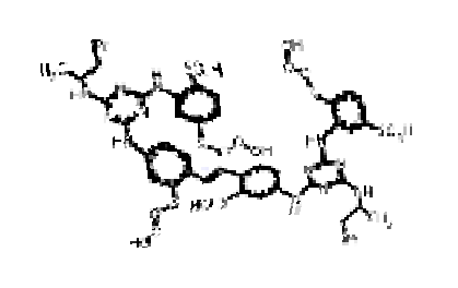 CC(C)CC(C)Nc1nc(Nc2ccc(/C=C/c3ccc(Nc4nc(Nc5cc(SOOO)ccc5S(=O)(=O)O)nc(NC(C)CC(C)C)n4)cc3SOOO)c(S(=O)(=O)O)c2)nc(Nc2cc(S(=O)(=O)O)ccc2SOOO)n1